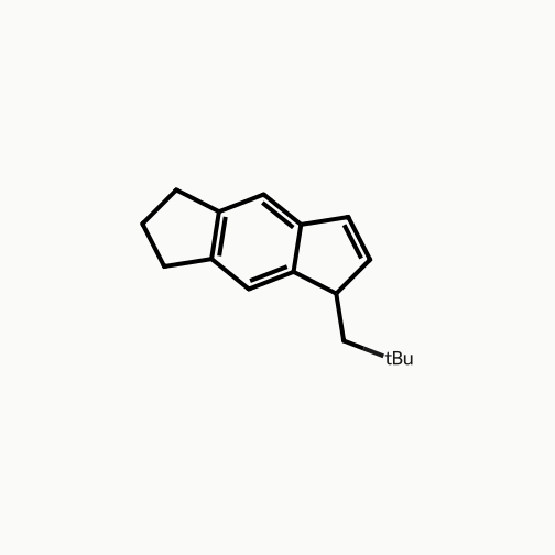 CC(C)(C)CC1C=Cc2cc3c(cc21)CCC3